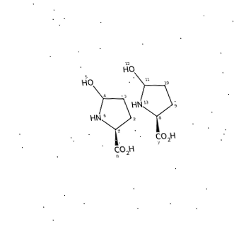 O=C(O)[C@@H]1CCC(O)N1.O=C(O)[C@@H]1CCC(O)N1